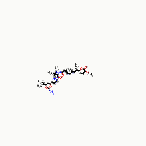 COC1=CC[C@@H]([C@@H](C)/C=C(C)/C=C\C=C/C(=O)N[C@H](C(=O)N/C=C\C[C@H](CC=C(C)C)OC(N)=O)C(C)(C)C)OC1=O